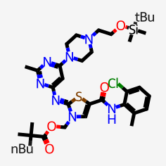 CCCCC(C)(C)C(=O)OCn1cc(C(=O)Nc2c(C)cccc2Cl)sc1=Nc1cc(N2CCN(CCO[Si](C)(C)C(C)(C)C)CC2)nc(C)n1